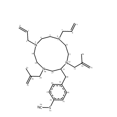 C=CCN1CCN(CC=C)CCN(CC(=C)C)C(Cc2ccc(SC#N)cc2)CN(CC(=C)C)CC1